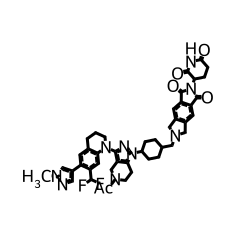 CC(=O)N1CCc2c(c(N3CCCc4cc(-c5cnn(C)c5)c(C(F)F)cc43)nn2C2CCC(CN3Cc4cc5c(cc4C3)C(=O)N(C3CCC(=O)NC3=O)C5=O)CC2)C1